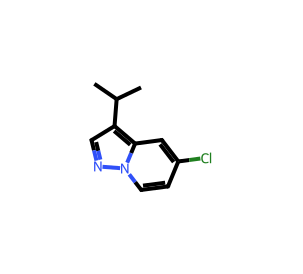 CC(C)c1cnn2ccc(Cl)cc12